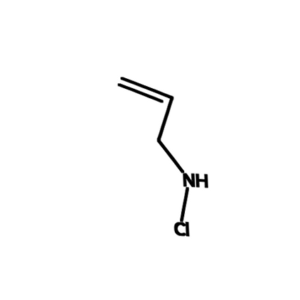 C=CCNCl